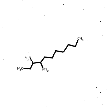 CCCCCCC[C](N)C(N)CC